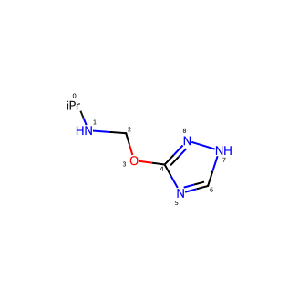 CC(C)NCOc1nc[nH]n1